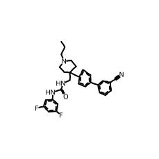 CCCN1CCC(CNC(=O)Nc2cc(F)cc(F)c2)(c2ccc(-c3cccc(C#N)c3)cc2)CC1